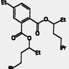 CCc1ccc(C(=O)OC(CC)CCC(C)C)c(C(=O)OC(CC)CCC(C)C)c1